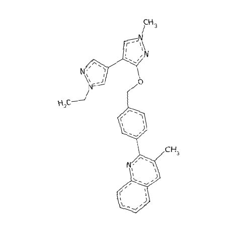 CCn1cc(-c2cn(C)nc2OCc2ccc(-c3nc4ccccc4cc3C)cc2)cn1